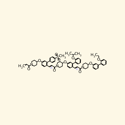 C=CC(=O)N1CCC(Oc2ccc(/C=C/C(=O)N3CCC(Oc4ccc(/C=C/C(=O)N5CCC(Oc6cccc(-c7ccccc7OCC)c6)CC5)c(-c5ccccc5OC(C)C)c4)CC3)c(-c3ccc(S(C)(=O)=O)cc3)c2)CC1